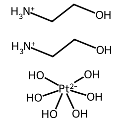 [NH3+]CCO.[NH3+]CCO.[OH][Pt-2]([OH])([OH])([OH])([OH])[OH]